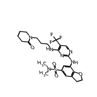 CN(C)S(=O)(=O)c1cc2c(c(Nc3ncc(C(F)(F)F)c(NCCCN4CCCCC4=O)n3)c1)OCC2